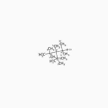 CC(C)(C)C(C)(C(C)(C)C)C(C)(C)F